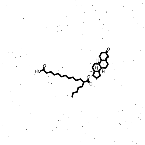 CCCCCC(CCCCCCCCCCC(=O)O)C(=O)O[C@H]1CC[C@H]2[C@@H]3CCC4=CC(=O)CC[C@]4(C)[C@H]3CC[C@]12C